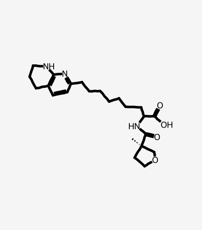 C[C@@]1(C(=O)NC(CCCCCCCc2ccc3c(n2)NCCC3)C(=O)O)CCOC1